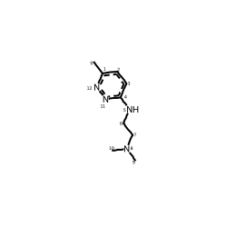 Cc1ccc(NCCN(C)C)nn1